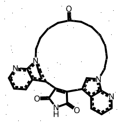 O=C1CCCCCCn2cc(c3cccnc32)C2=C(C(=O)NC2=O)c2cn(c3ncccc23)CCCC1